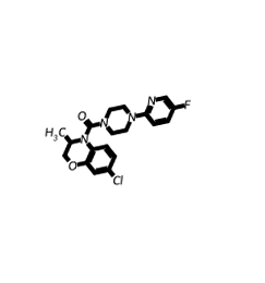 CC1COc2cc(Cl)ccc2N1C(=O)N1CCN(c2ccc(F)cn2)CC1